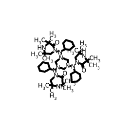 CC1(C)CN(N(C2CCCCC2)N2CN(N(C3CCCCC3)N3CC(C)(C)NC(C)(C)C3=O)CN(N(C3CCCCC3)N3CC(C)(C)NC(C)(C)C3=O)C2)C(=O)C(C)(C)N1